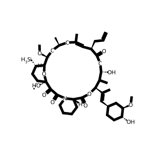 C=CC[C@@H]1/C=C(\C)C[C@H](C)C[C@H](OC)[C@H]2O[C@@](O)(C(=O)C(=O)N3CCCC[C@H]3C(=O)O[C@H](/C(C)=C/[C@@H]3CC[C@@H](O)[C@H](OC)C3)C(C)[C@@H](O)CC1=O)[C@H](C)C[C@@H]2[SiH3]